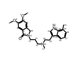 COc1cc2c(cc1OC)C(=O)N(CCCN(C)CCc1c[nH]c3c(C)cccc13)C2